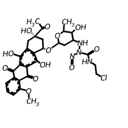 COc1cccc2c1C(=O)c1c(O)c3c(c(O)c1C2=O)C[C@@](O)(C(C)=O)C[C@@H]3OC1CC(NN(N=O)C(=O)NCCCl)C(O)C(C)O1